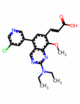 CCN(CC)c1ncc2c(-c3cncc(Cl)c3)cc(/C=C/C(=O)O)c(OC)c2n1